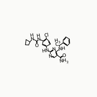 C[C@@H](Nc1nc(Nc2ccc(Cl)c(NC(=O)NC3CCC3)c2)ncc1C(N)=O)c1ccccc1